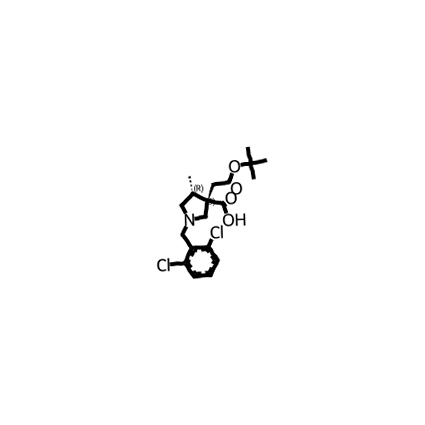 C[C@H]1CN(Cc2c(Cl)cccc2Cl)C[C@@]1(CC(=O)OC(C)(C)C)C(=O)O